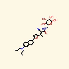 CCCN(CCC)c1ccc2cc(-c3ccc(/C(C)=C(\C#N)C(=O)NC[C@H]4OC(O)[C@H](O)[C@@H](O)[C@@H]4O)o3)ccc2c1